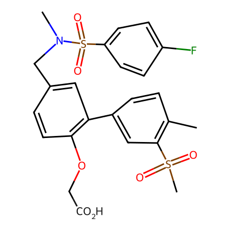 Cc1ccc(-c2cc(CN(C)S(=O)(=O)c3ccc(F)cc3)ccc2OCC(=O)O)cc1S(C)(=O)=O